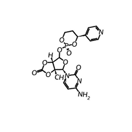 C[C@@]12OC(=O)O[C@@H]1C(OP1(=O)OCC[C@@H](c3ccncc3)O1)O[C@H]2n1ccc(N)nc1=O